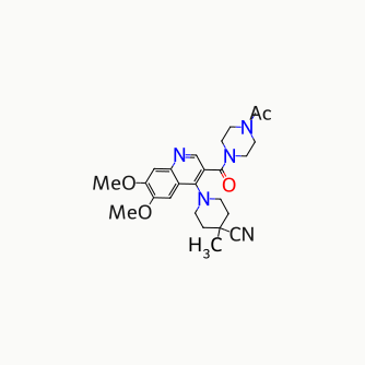 COc1cc2ncc(C(=O)N3CCN(C(C)=O)CC3)c(N3CCC(C)(C#N)CC3)c2cc1OC